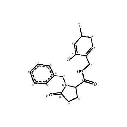 O=C(NCC1=CCC(F)C=C1Cl)C1CCC(=O)N1Cc1ccccc1